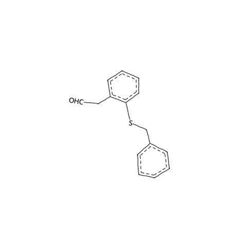 O=CCc1ccccc1SCc1ccccc1